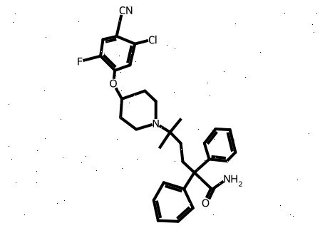 CC(C)(CCC(C(N)=O)(c1ccccc1)c1ccccc1)N1CCC(Oc2cc(Cl)c(C#N)cc2F)CC1